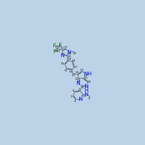 CNc1ncccc1-c1ncc2[nH]cc(Cc3ccc(-c4nc(C(F)(F)F)cn4C)cc3)c2n1